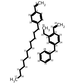 C=Cc1ccc(CCCCCCCCCCCC)cc1.C=Cc1ccc(Cc2ccccc2)cc1CC